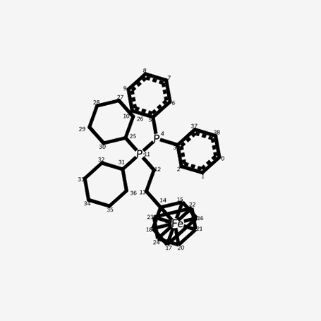 c1ccc(P(c2ccccc2)[P](CC[C]23[CH]4[CH]5[CH]6[CH]2[Fe]56432789[CH]3[CH]2[CH]7[CH]8[CH]39)(C2CCCCC2)C2CCCCC2)cc1